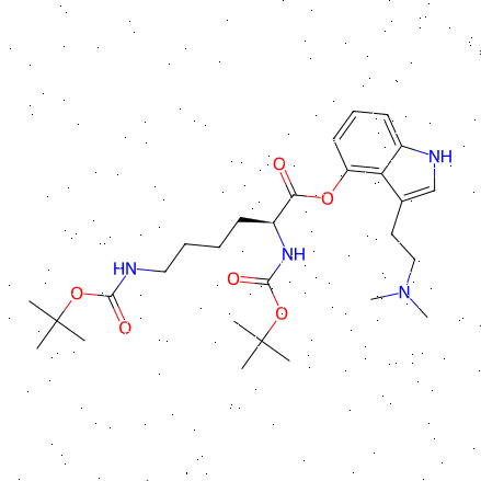 CN(C)CCc1c[nH]c2cccc(OC(=O)[C@H](CCCCNC(=O)OC(C)(C)C)NC(=O)OC(C)(C)C)c12